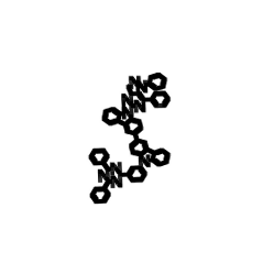 c1ccc(-c2nc(-c3ccccc3)nc(-c3cccc(-n4c5ccccc5c5cc(-c6ccc7c(c6)c6ccccc6n7-c6nc(-c7ccccc7)c7c(cnn7-c7ccccc7)n6)ccc54)c3)n2)cc1